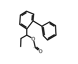 CCC(O[C]=O)c1ccccc1-c1ccccc1